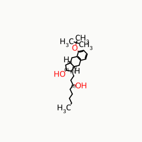 CCCCC[C@H](O)CC[C@@H]1[C@H]2Cc3cccc(OC(C)(C)C)c3C[C@H]2C[C@H]1O